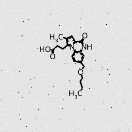 CCCCOCc1ccc2c(c1)[nH]c(=O)c1cc(C)c(CCC(=O)O)n12